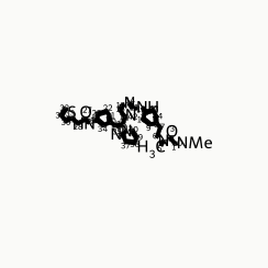 CNCC(=O)N(C)CCc1ccc(Nc2nccc(-c3c(-c4cccc(NC(=O)Cc5cccs5)c4)nc4ccccn34)n2)cc1